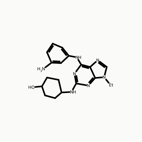 CCn1cnc2c(Nc3cccc(N)c3)nc(NC3CCC(O)CC3)nc21